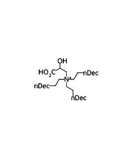 CCCCCCCCCCCC[N+](CCCCCCCCCCCC)(CCCCCCCCCCCC)CC(O)C(=O)O